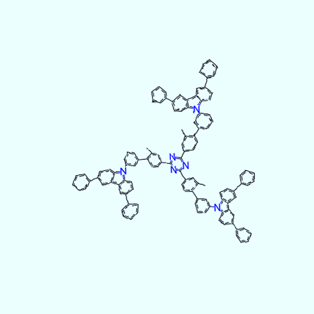 Cc1cc(-c2nc(-c3ccc(-c4cccc(-n5c6ccc(-c7ccccc7)cc6c6cc(-c7ccccc7)ccc65)c4)c(C)c3)nc(-c3ccc(-c4cccc(-n5c6ccc(-c7ccccc7)cc6c6cc(-c7ccccc7)ccc65)c4)c(C)c3)n2)ccc1-c1cccc(-n2c3ccc(-c4ccccc4)cc3c3cc(-c4ccccc4)ccc32)c1